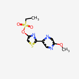 CCS(=O)(=O)Oc1csc(-c2cnc(OC)cn2)n1